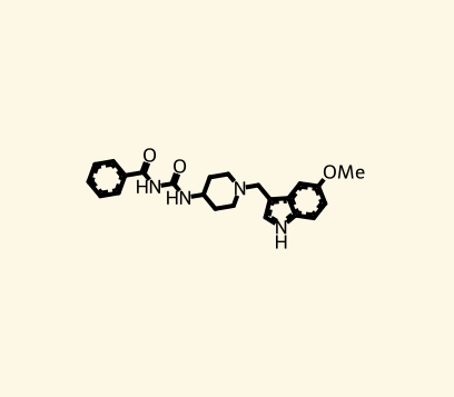 COc1ccc2[nH]cc(CN3CCC(NC(=O)NC(=O)c4ccccc4)CC3)c2c1